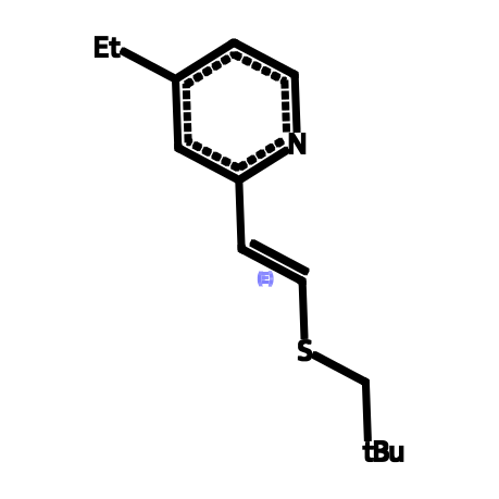 CCc1ccnc(/C=C/SCC(C)(C)C)c1